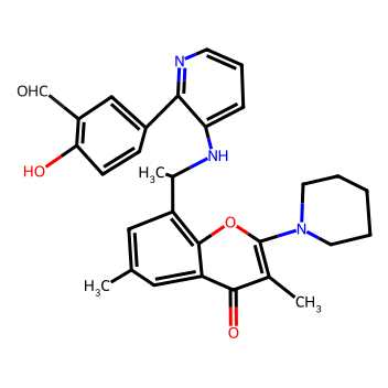 Cc1cc(C(C)Nc2cccnc2-c2ccc(O)c(C=O)c2)c2oc(N3CCCCC3)c(C)c(=O)c2c1